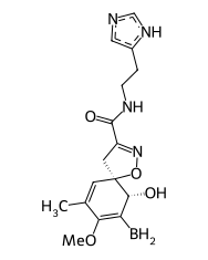 BC1=C(OC)C(C)=C[C@]2(CC(C(=O)NCCc3cnc[nH]3)=NO2)[C@@H]1O